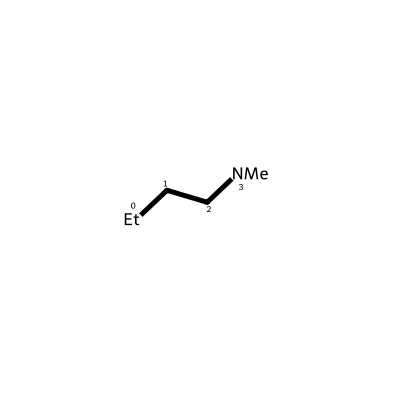 [CH2]CCCNC